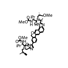 C#C[C@@H](C)CN(Cc1ncc(-c2ccc3c(c2)COc2cc4c(ccc5nc([C@H](C)N(C[C@H](C)COC)C(=O)[C@@H](NC(=O)OC)C(C)C)[nH]c54)cc2-3)[nH]1)C(=O)[C@@H](NC(=O)OC)C(C)C